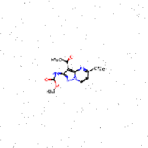 COC(=O)c1c(NC(=O)OC(C)(C)C)nn2ccc(OC)nc12